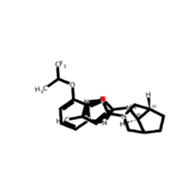 Cc1cc(N2CC3CC[C@@H](C2)[C@@H]3Nc2nc3c(OC(C)C(F)(F)F)cccn3n2)sn1